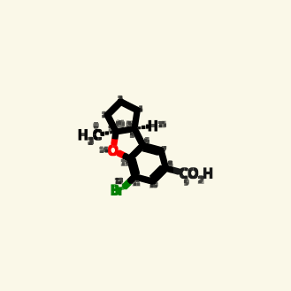 C[C@]12CCC[C@H]1c1cc(C(=O)O)cc(Br)c1O2